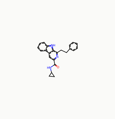 O=C(NC1CC1)c1cc2c([nH]c3ccccc32)c(CCc2ccccc2)n1